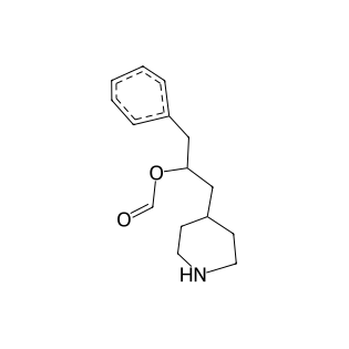 O=COC(Cc1ccccc1)CC1CCNCC1